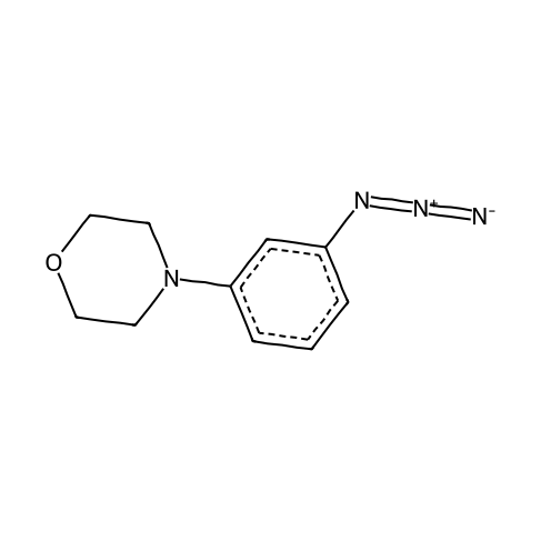 [N-]=[N+]=Nc1cccc(N2CCOCC2)c1